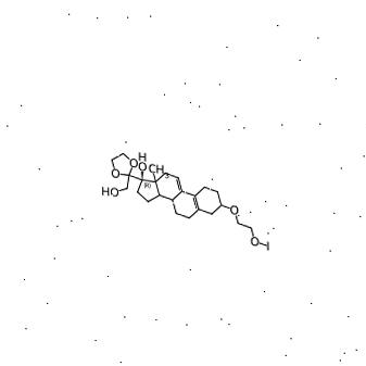 CC12CC=C3C4=C(CCC3C1CC[C@]2(O)C1(CO)OCCO1)CC(OCCOI)CC4